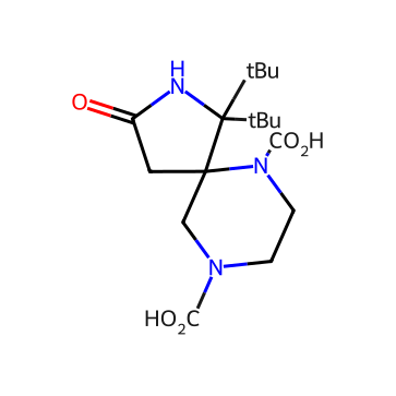 CC(C)(C)C1(C(C)(C)C)NC(=O)CC12CN(C(=O)O)CCN2C(=O)O